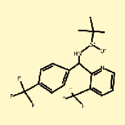 CC(C)(C)[S+]([O-])NC(c1ccc(C(F)(F)F)cc1)c1ncccc1C(F)(F)F